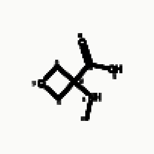 CNC1(C(=O)O)COC1